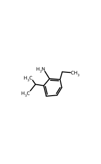 CCc1cccc(C(C)C)c1N